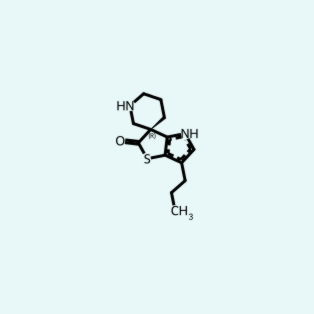 CCCc1c[nH]c2c1SC(=O)[C@@]21CCCNC1